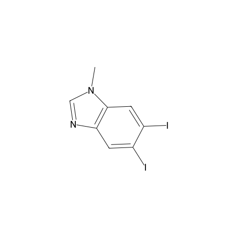 Cn1cnc2cc(I)c(I)cc21